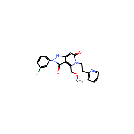 COCc1c2c(=O)n(-c3cccc(Cl)c3)[nH]c2cc(=O)n1CCc1ccccn1